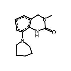 CN1Cc2cccc(N3CCCCC3)c2NC1=O